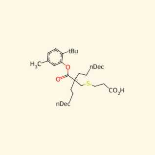 CCCCCCCCCCCCC(CCCCCCCCCCCC)(CSCCC(=O)O)C(=O)Oc1cc(C)ccc1C(C)(C)C